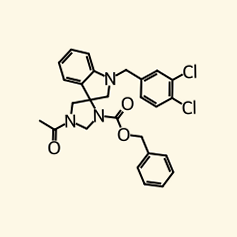 CC(=O)N1CN(C(=O)OCc2ccccc2)C2(C1)CN(Cc1ccc(Cl)c(Cl)c1)c1ccccc12